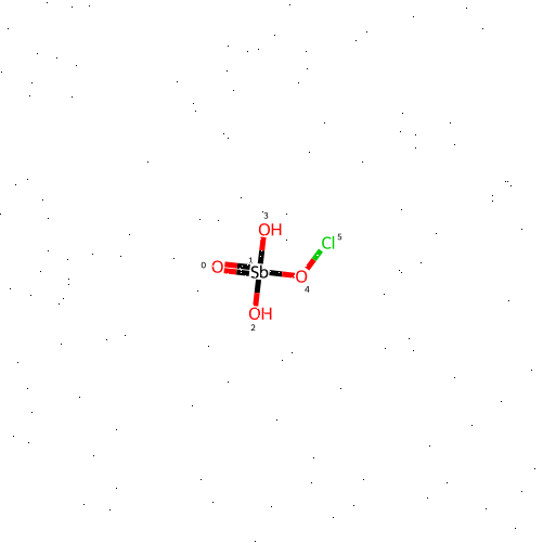 [O]=[Sb]([OH])([OH])[O]Cl